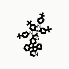 CC(C)(C)c1ccc(N2c3cc(C(C)(C)C)ccc3B3c4sc5cc6c(cc5c4N(c4ccc(C(C)(C)C)cc4)c4cc(C(C)(C)C)cc2c43)-c2ccccc2C62c3ccccc3-c3ncccc32)cc1